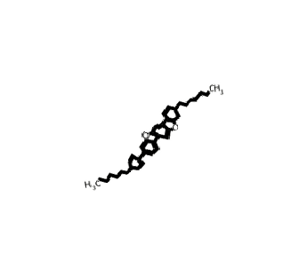 CCCCCCCc1ccc(-c2ccc3c(c2)oc2cc4c(cc23)oc2cc(CCCCCCC)ccc24)cc1